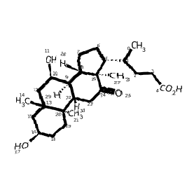 CC(CCC(=O)O)[C@H]1CC[C@H]2[C@@H]3[C@H](O)CC4(C)C[C@H](O)CC[C@]4(C)[C@H]3CC(=O)[C@]12C